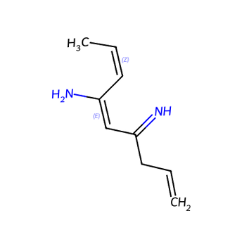 C=CCC(=N)/C=C(N)\C=C/C